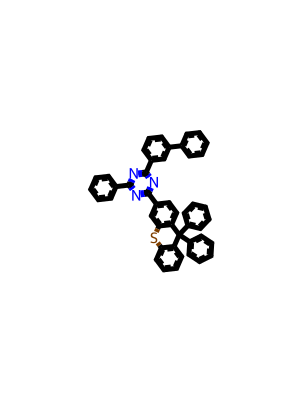 c1ccc(-c2cccc(-c3nc(-c4ccccc4)nc(-c4ccc5c(c4)Sc4ccccc4C5(c4ccccc4)c4ccccc4)n3)c2)cc1